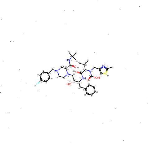 Cc1nc(CN(C(=O)O)[C@H](C(=O)N[C@@H](Cc2ccccc2)[C@H](O)CN2CCN(Cc3ccc(F)cc3)C[C@H]2C(=O)NC(C)(C)C)C(C)C)cs1